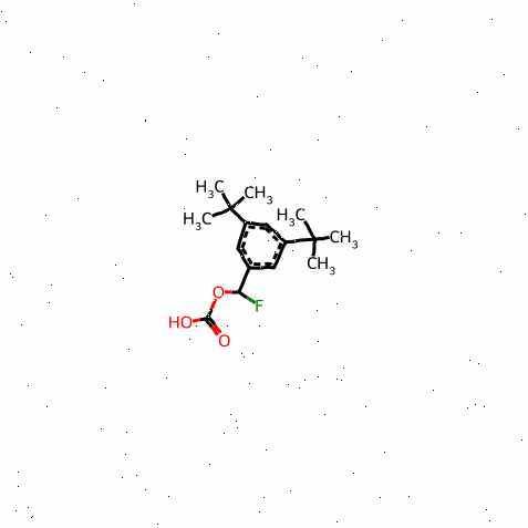 CC(C)(C)c1cc(C(F)OC(=O)O)cc(C(C)(C)C)c1